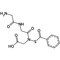 NCC(=O)NCC(=O)N(CC(=O)O)SC(=O)c1ccccc1